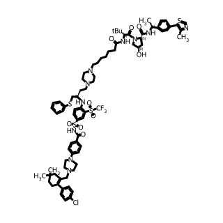 Cc1ncsc1-c1ccc([C@H](C)NC(=O)[C@@H]2C[C@@H](O)CN2C(=O)[C@@H](NC(=O)CCCCCCN2CCN(CC[C@H](CSc3ccccc3)Nc3ccc(S(=O)(=O)NC(=O)c4ccc(N5CCN(CC6=C(c7ccc(Cl)cc7)CCC(C)(C)C6)CC5)cc4)cc3S(=O)(=O)C(F)(F)F)CC2)C(C)(C)C)cc1